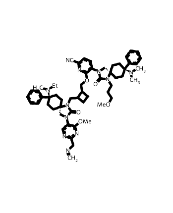 C=NCc1ncc(N2C[C@]3(CC[C@](c4ccccc4)(N(C)CC)CC3)N(CC3CCC3COc3nc(C#N)ccc3N3C[C@]4(CC[C@](c5ccccc5)(N(C)C)CC4)N(CCCOC)C3=O)C2=O)c(OC)n1